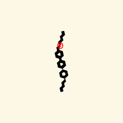 C=CCCCOCc1ccc(-c2ccc([C@H]3CC[C@H](CCCC=C)CC3)cc2)cc1